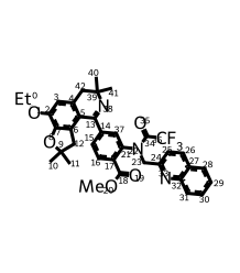 CCOc1cc2c(c3c1OC(C)(C)C3)C(c1ccc(C(=O)OC)c(N(Cc3ccc4ccccc4n3)C(=O)C(F)(F)F)c1)=NC(C)(C)C2